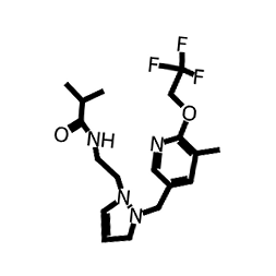 Cc1cc(CN2CC=CN2CCNC(=O)C(C)C)cnc1OCC(F)(F)F